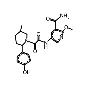 COc1ncc(NC(=O)C(=O)N2CC(C)CCC2c2ccc(O)cc2)cc1C(N)=O